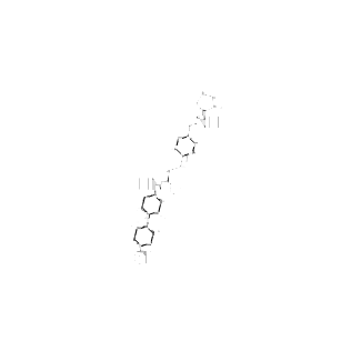 O=C(CCc1ccc(CNC2CCCC2)cc1)Nc1ccc(-c2ccc(Cl)cc2)cc1